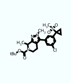 CC1c2nn(C)c(-c3cc(Cl)cc(C4(S(C)(=O)=O)CC4)c3)c2CCN1C(=O)OC(C)(C)C